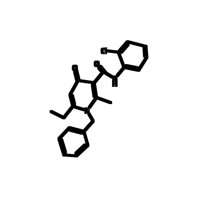 CCc1cc(=O)c(C(=O)Nc2ccccc2Cl)c(C)n1Cc1ccccc1